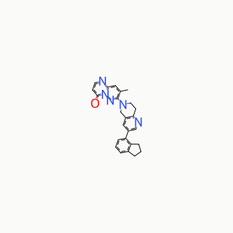 Cc1cc2nccc(=O)n2nc1N1CCc2ncc(-c3cccc4c3CCC4)cc2C1